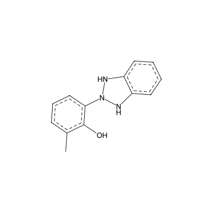 Cc1cccc(N2Nc3ccccc3N2)c1O